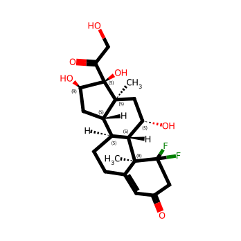 C[C@@]12C(=CC(=O)CC1(F)F)CC[C@@H]1[C@@H]2[C@@H](O)C[C@@]2(C)[C@H]1C[C@@H](O)[C@]2(O)C(=O)CO